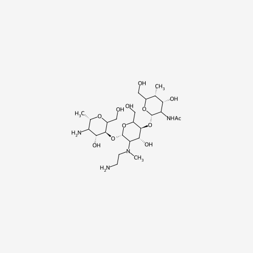 CC(=O)NC1[C@H](O[C@@H]2C(CO)O[C@@H](O[C@@H]3C(CO)O[C@@H](C)C(N)[C@H]3O)C(N(C)CCN)[C@H]2O)OC(CO)[C@H](C)[C@@H]1O